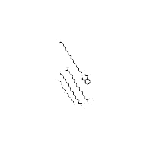 CC(C)CCCCCCCCCCCCCCC(N)=O.CC(C)CCCCCCCCCCCCCCC(N)=O.CC(C)CCCCCCCCCCCCCCC(N)=O.NC(=O)c1ccccc1C(=O)O.NCCNCCNCCNCCN